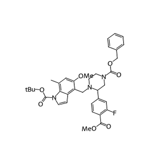 COC(=O)c1ccc(C2CN(C(=O)OCc3ccccc3)CCN2Cc2c(OC)cc(C)c3c2ccn3C(=O)OC(C)(C)C)cc1F